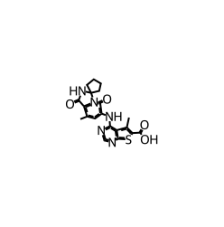 Cc1cc(Nc2ncnc3sc(C(=O)O)c(C)c23)c(=O)n2c1C(=O)NC21CCCC1